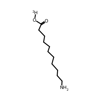 [2H]OC(=O)CCCCCCCCCCN